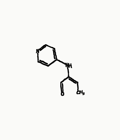 CC=C(C=O)Nc1ccncc1